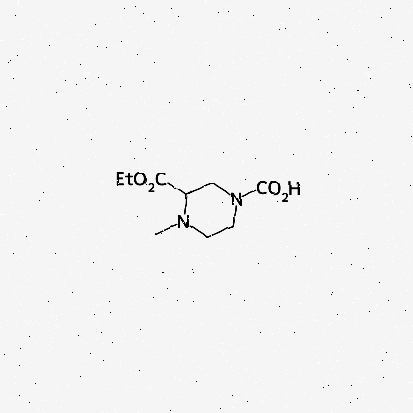 CCOC(=O)C1CN(C(=O)O)CCN1C